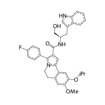 COc1cc2c(cc1OC(C)C)-c1cc(C(=O)N[C@@H](CO)Cc3c[nH]c4ccccc34)c(-c3ccc(F)cc3)n1CC2